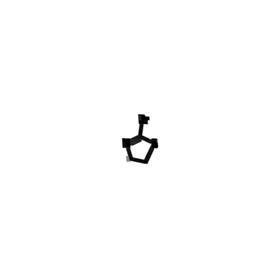 BrC1=N[C]CS1